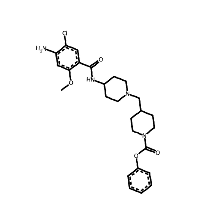 COc1cc(N)c(Cl)cc1C(=O)NC1CCN(CC2CCN(C(=O)Oc3ccccc3)CC2)CC1